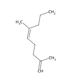 [CH]=C(C)CCC=C(C)CC[CH2]